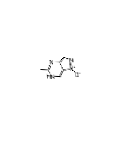 Cc1nc2cn[n+]([O-])c-2c[nH]1